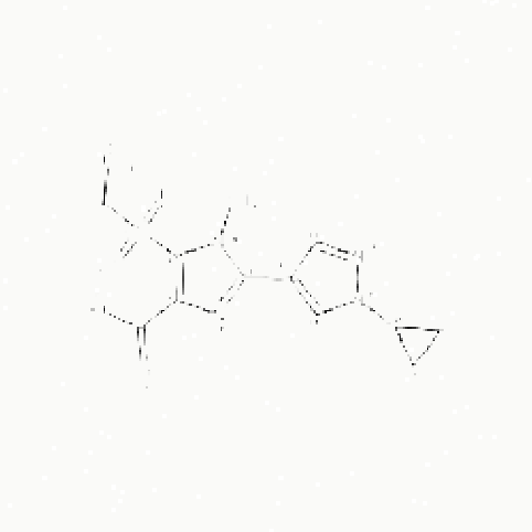 CCS(=O)(=O)c1c(C(=O)O)nc(-c2cnn(C3CC3)c2)n1C